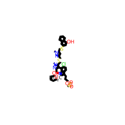 Cn1nc(CSCc2c(-c3c(Cl)ccc4c(CCCOS(C)(=O)=O)c(C(=O)O)n(C)c34)c(COC3CCCCO3)nn2C)cc1CSc1cc(O)c2ccccc2c1